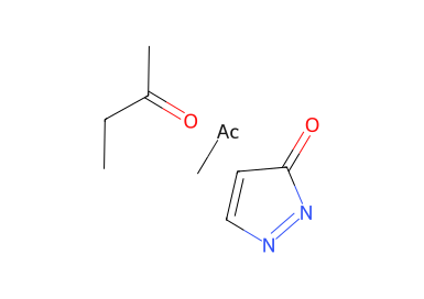 CC(C)=O.CCC(C)=O.O=C1C=CN=N1